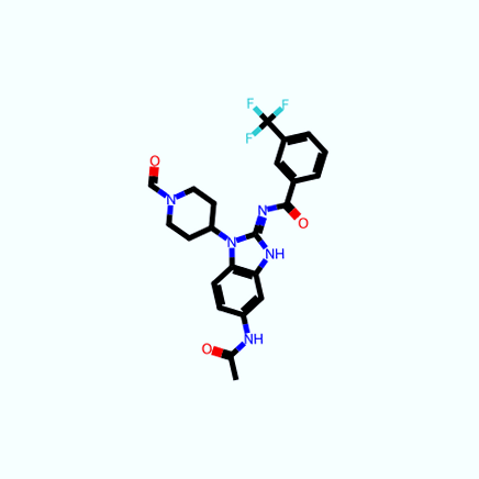 CC(=O)Nc1ccc2c(c1)[nH]/c(=N\C(=O)c1cccc(C(F)(F)F)c1)n2C1CCN(C=O)CC1